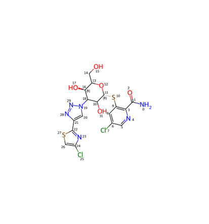 NC(=O)c1ncc(Cl)cc1S[C@H]1OC(CO)[C@H](O)C(n2cc(-c3nc(Cl)cs3)nn2)C1O